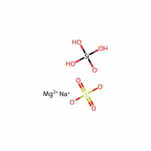 O=S(=O)([O-])[O-].[Mg+2].[Na+].[O-][Si](O)(O)O